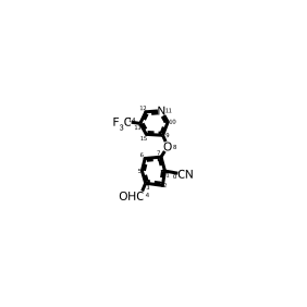 N#Cc1cc(C=O)ccc1Oc1cncc(C(F)(F)F)c1